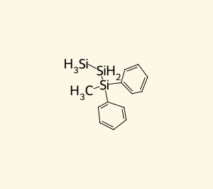 C[Si]([SiH2][SiH3])(c1ccccc1)c1ccccc1